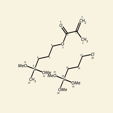 C=C(C)C(=O)OCCC[Si](C)(OC)OC.CO[Si](CCCCl)(OC)OC